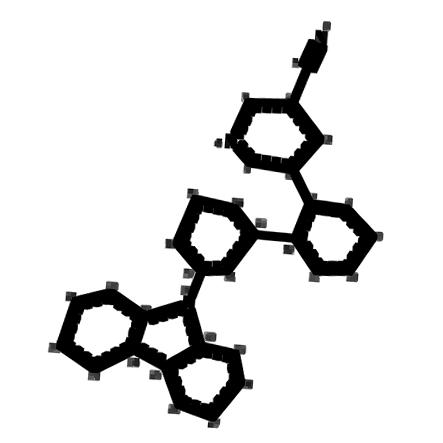 N#Cc1cncc(-c2ccccc2-c2cccc(-n3c4ccccc4c4ccccc43)c2)c1